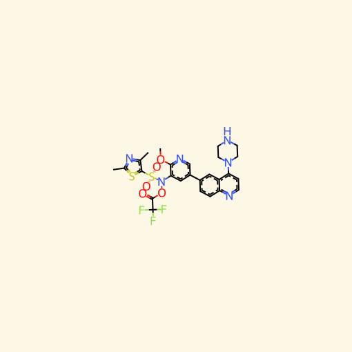 COc1ncc(-c2ccc3nccc(N4CCNCC4)c3c2)cc1N(OC(=O)C(F)(F)F)S(=O)(=O)c1sc(C)nc1C